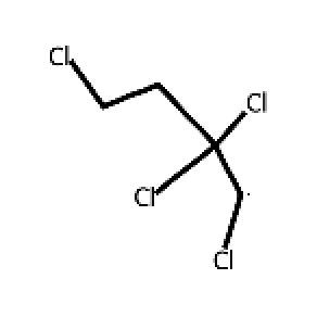 Cl[CH]C(Cl)(Cl)CCCl